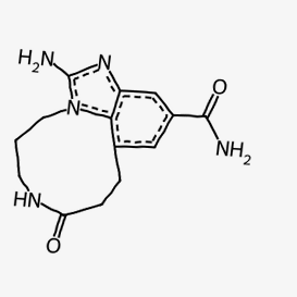 NC(=O)c1cc2c3c(c1)nc(N)n3CCCNC(=O)CC2